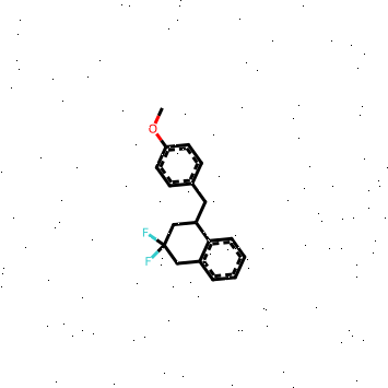 COc1ccc(CC2CC(F)(F)Cc3ccccc32)cc1